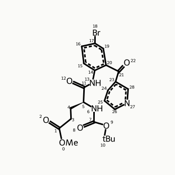 COC(=O)CC[C@H](NC(=O)OC(C)(C)C)C(=O)Nc1ccc(Br)cc1C(=O)c1cccnc1